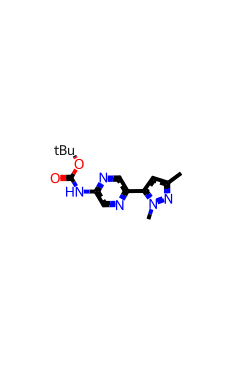 Cc1cc(-c2cnc(NC(=O)OC(C)(C)C)cn2)n(C)n1